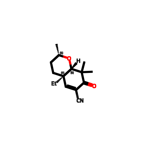 CC[C@@]12C=C(C#N)C(=O)C(C)(C)[C@H]1O[C@@H](C)CC2